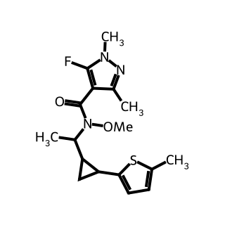 CON(C(=O)c1c(C)nn(C)c1F)C(C)C1CC1c1ccc(C)s1